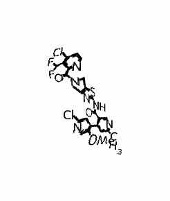 COc1cnc(Cl)cc1-c1cc(C)ncc1C(=O)Nc1nc2c(s1)CN(C(=O)c1nccc(Cl)c1C(F)F)C2